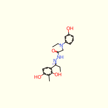 CC/C(=N\NC(=O)CN(CC)c1cccc(O)c1)c1ccc(O)c(C)c1O